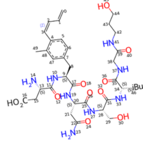 C=C/C=C\c1ccc(C[C@H](NC(=O)[C@@H](N)CC(=O)O)C(=O)N[C@@H](CC(N)=O)C(=O)N[C@@H](CO)C(=O)N[C@H](C(=O)NCC(=O)NCCCO)[C@@H](C)CC)cc1C